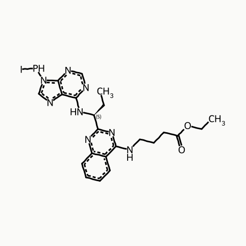 CCOC(=O)CCCNc1nc([C@H](CC)Nc2ncnc3c2ncn3PI)nc2ccccc12